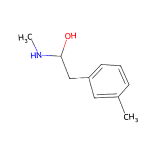 CNC(O)Cc1cccc(C)c1